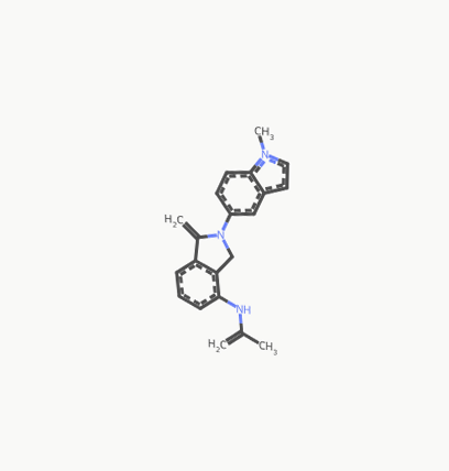 C=C(C)Nc1cccc2c1CN(c1ccc3c(ccn3C)c1)C2=C